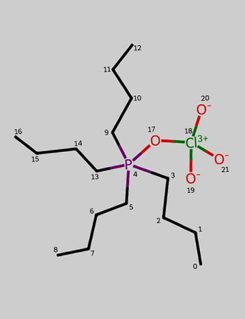 CCCCP(CCCC)(CCCC)(CCCC)O[Cl+3]([O-])([O-])[O-]